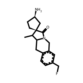 CC1C2Cc3ccc(CF)cc3CN2C(=O)[C@]12CC[C@@H](N)C2